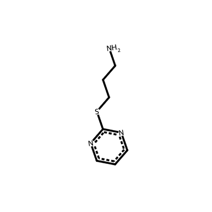 NCCCSc1ncccn1